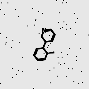 C[C@H]1C=CC=CC1C1C=CC=NC1